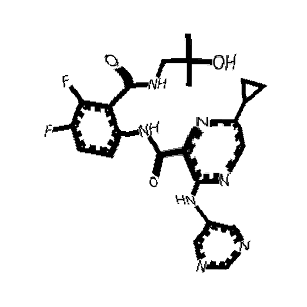 CC(C)(O)CNC(=O)c1c(NC(=O)c2nc(C3CC3)cnc2Nc2cncnc2)ccc(F)c1F